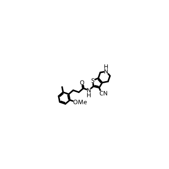 COc1cccc(C)c1CCC(=O)Nc1sc2c(c1C#N)CCNC2